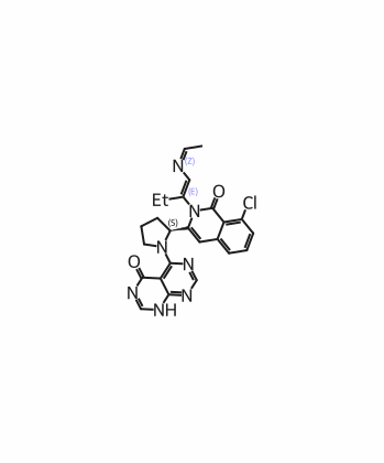 C/C=N\C=C(/CC)n1c([C@@H]2CCCN2c2ncnc3[nH]cnc(=O)c23)cc2cccc(Cl)c2c1=O